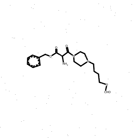 NC(C(=O)OCc1ccccc1)C(=O)N1CCN(CCCCOC=O)CC1